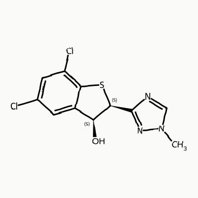 Cn1cnc([C@@H]2Sc3c(Cl)cc(Cl)cc3[C@@H]2O)n1